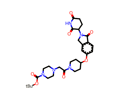 CC(C)(C)OC(=O)N1CCN(CC(=O)N2CCC(Oc3ccc4c(c3)CN(C3CCC(=O)NC3=O)C4=O)CC2)CC1